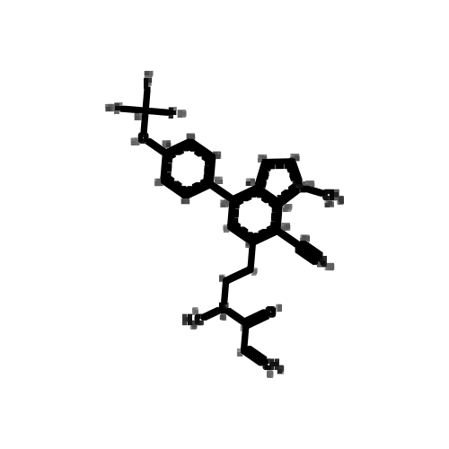 C=CC(=O)N(C)CCc1cc(-c2ccc(OC(F)(F)F)cc2)c2ccn(C)c2c1C#N